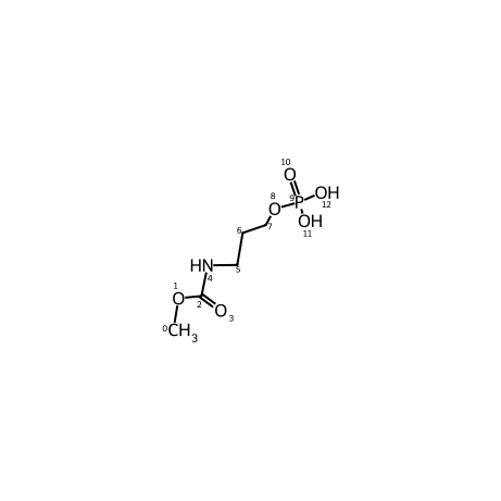 COC(=O)NCCCOP(=O)(O)O